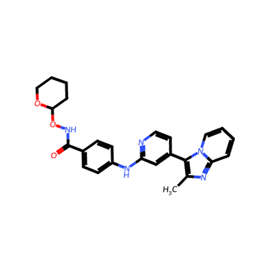 Cc1nc2ccccn2c1-c1ccnc(Nc2ccc(C(=O)NOC3CCCCO3)cc2)c1